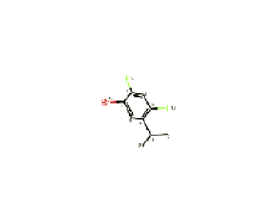 CC(C)c1cc(Br)c(F)cc1F